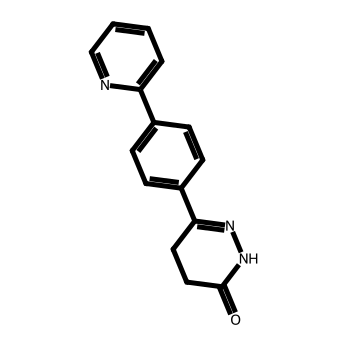 O=C1CCC(c2ccc(-c3ccccn3)cc2)=NN1